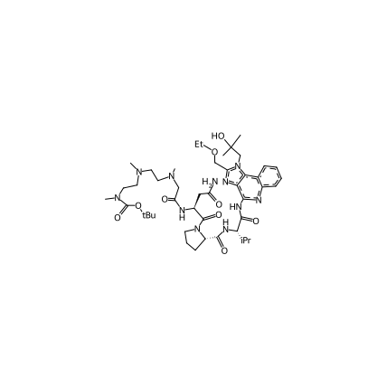 CCOCc1nc2c(NC(=O)[C@@H](NC(=O)[C@@H]3CCCN3C(=O)[C@H](CC(N)=O)NC(=O)CN(C)CCN(C)CCN(C)C(=O)OC(C)(C)C)C(C)C)nc3ccccc3c2n1CC(C)(C)O